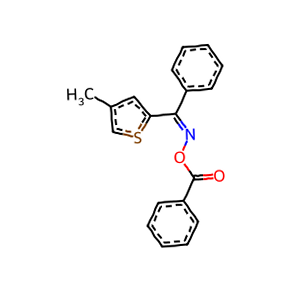 Cc1csc(C(=NOC(=O)c2ccccc2)c2ccccc2)c1